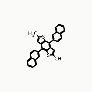 Cc1cc2c(-c3ccc4ccccc4c3)c3sc(C)cc3c(-c3ccc4ccccc4c3)c2s1